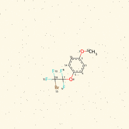 COc1ccc(OC(F)(F)C(F)(F)Br)cc1